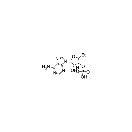 CCC1OC(n2cnc3c(N)ncnc32)C(O)C1OP(=O)(O)O